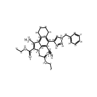 CCOC(=O)Cn1c(C(=O)OCC)c(N)c2c3c(c(-c4cn(Cc5ccccc5)nn4)c(C#N)c21)CCCC3